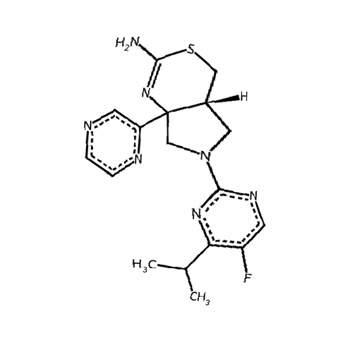 CC(C)c1nc(N2C[C@H]3CSC(N)=NC3(c3cnccn3)C2)ncc1F